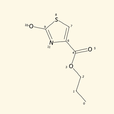 CCCOC(=O)c1csc([O])n1